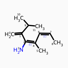 C=C(/C(N)=C(C)\C=C/C)C(C)C